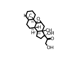 C[C@]12CCCCC1CC[C@H]1[C@@H]3CC[C@](O)(C(=O)CO)[C@@]3(C)CC3O[C@]312